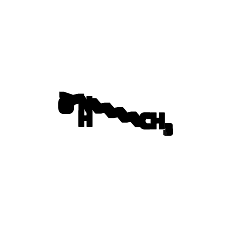 CCCCCCCCCNCC1CO1